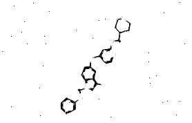 O=C(Nc1cc(Oc2ccc3c(c2)c(Cl)cn3C(=O)Nc2ccccc2)ccn1)C1CCNCC1